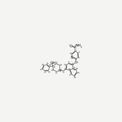 NC(=O)c1ccc(Oc2ccc(CN3CCC(O)(c4ccccc4)CC3)c3ccccc23)nc1